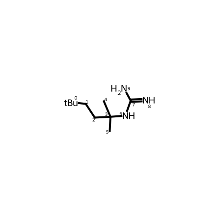 CC(C)(C)CCC(C)(C)NC(=N)N